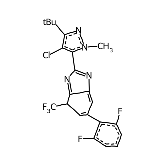 Cn1nc(C(C)(C)C)c(Cl)c1C1=NC2=CC(c3c(F)cccc3F)=CC(C(F)(F)F)C2=N1